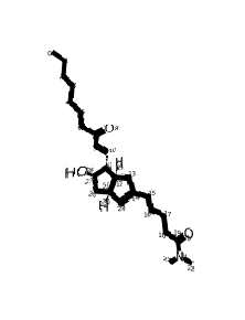 CCCCCCCC(=O)/C=C/[C@@H]1[C@H]2CC(CCCCC(=O)N(C)C)=C[C@H]2C[C@H]1O